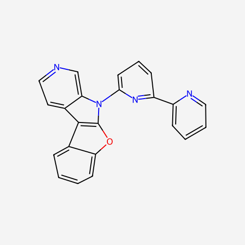 c1ccc(-c2cccc(-n3c4cnccc4c4c5ccccc5oc43)n2)nc1